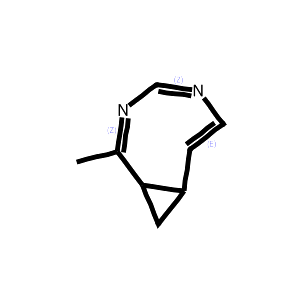 C/C1=N/C=N\C=C\C2CC12